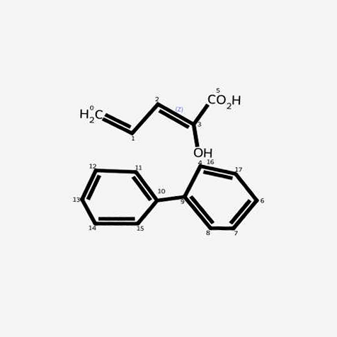 C=C/C=C(\O)C(=O)O.c1ccc(-c2ccccc2)cc1